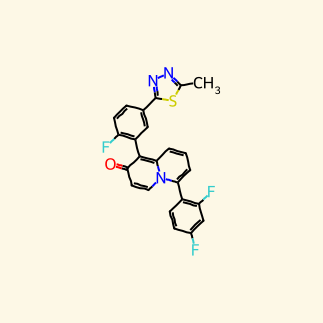 Cc1nnc(-c2ccc(F)c(-c3c(=O)ccn4c(-c5ccc(F)cc5F)cccc34)c2)s1